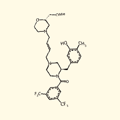 COC[C@@H]1CN(CC=CCN2CCN(C(=O)c3cc(C(F)(F)F)cc(C(F)(F)F)c3)[C@H](Cc3ccc(C)c(O)c3)C2)CCO1